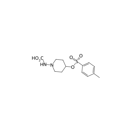 Cc1ccc(S(=O)(=O)OC2CCN(NC(=O)O)CC2)cc1